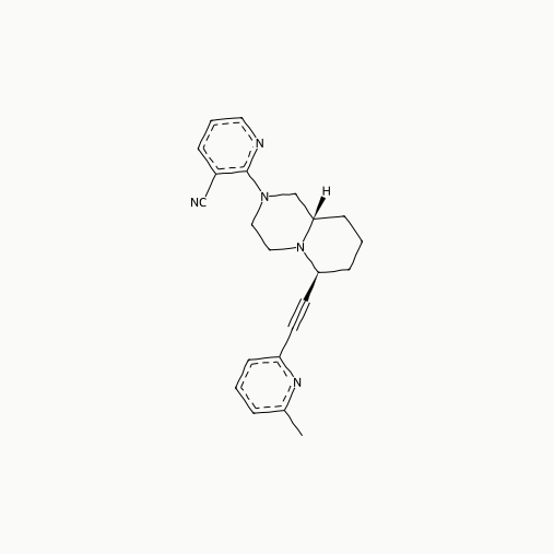 Cc1cccc(C#C[C@@H]2CCC[C@H]3CN(c4ncccc4C#N)CCN32)n1